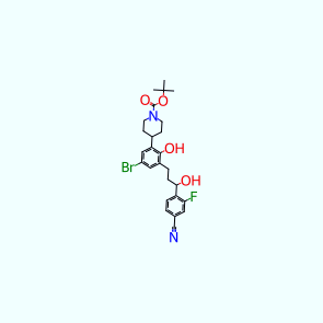 CC(C)(C)OC(=O)N1CCC(c2cc(Br)cc(CCC(O)c3ccc(C#N)cc3F)c2O)CC1